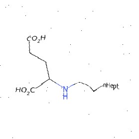 CCCCCCCCCNC(CCC(=O)O)C(=O)O